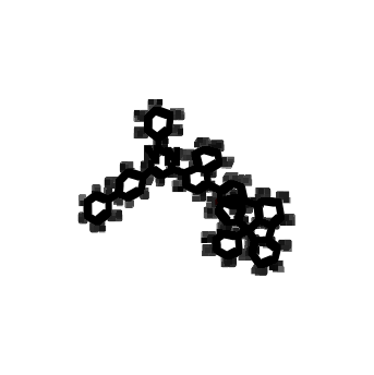 c1ccc(-c2ccc(-c3cc(-c4ccc(-c5ccc(-c6cccc7c6C(c6ccccc6)(c6ccccc6)c6ccccc6-7)cc5)c5ccccc45)nc(-c4ccccc4)n3)cc2)cc1